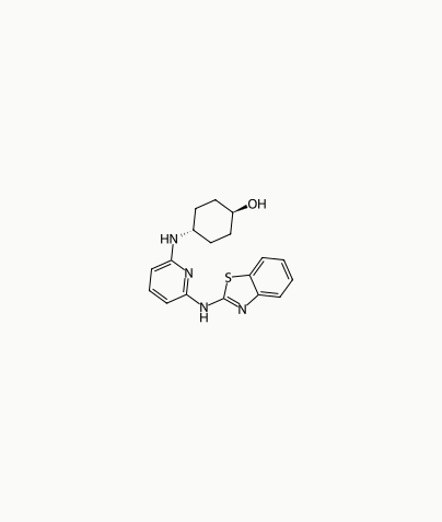 O[C@H]1CC[C@H](Nc2cccc(Nc3nc4ccccc4s3)n2)CC1